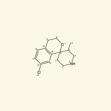 CC1CNCCC12OCCc1ccc(Cl)cc12